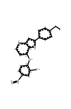 CCc1ccc(-c2cc3nccc(Oc4ccc(N=O)cc4F)c3s2)cc1